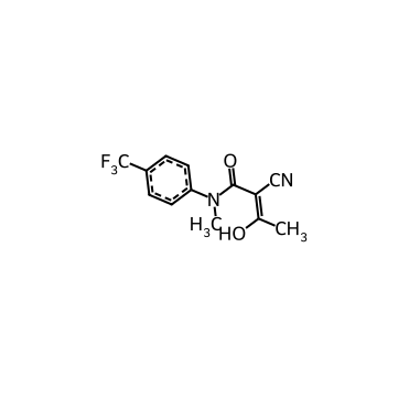 CC(O)=C(C#N)C(=O)N(C)c1ccc(C(F)(F)F)cc1